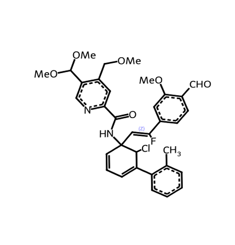 COCc1cc(C(=O)NC2(/C=C(\F)c3ccc(C=O)c(OC)c3)C=CC=C(c3ccccc3C)C2Cl)ncc1C(OC)OC